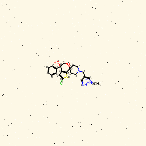 CN/C=C(\C=N)CN1CCC2(CC1)OCC(O)(c1ccccc1)c1cc(Cl)sc12